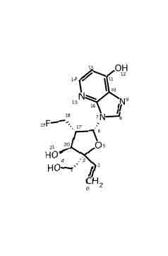 C=C[C@]1(CO)O[C@@H](n2cnc3c(O)ccnc32)[C@@H](CF)[C@@H]1O